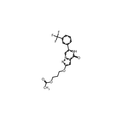 CC(=O)OCCCOc1cc2c(=O)[nH]c(-c3cccc(C(F)(F)F)c3)cn2n1